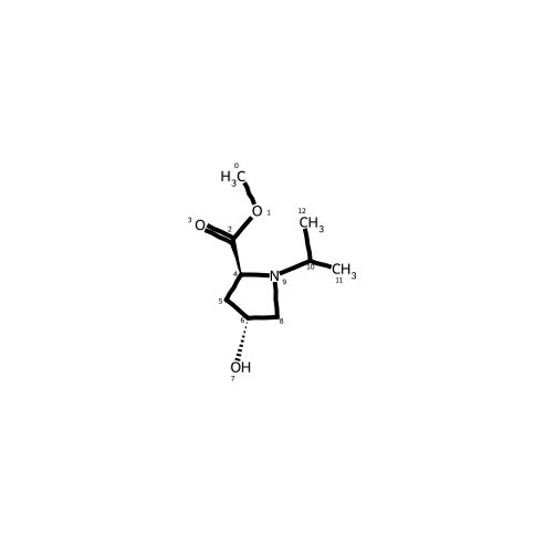 COC(=O)[C@@H]1C[C@@H](O)CN1C(C)C